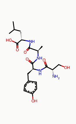 CC(C)C[C@H](NC(=O)[C@@H](C)NC(=O)[C@H](Cc1ccc(O)cc1)NC(=O)[C@@H](N)CO)C(=O)O